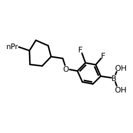 CCCC1CCC(COc2ccc(B(O)O)c(F)c2F)CC1